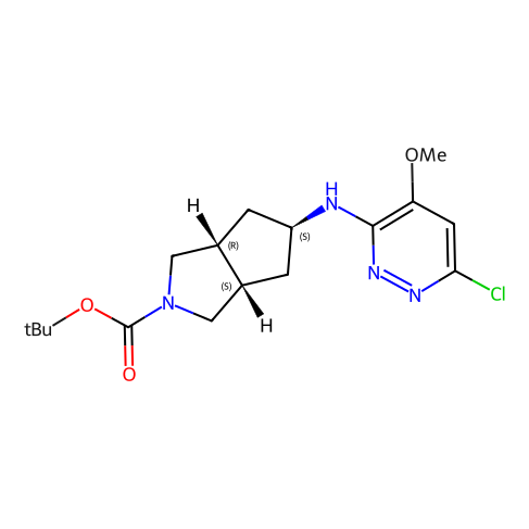 COc1cc(Cl)nnc1N[C@H]1C[C@@H]2CN(C(=O)OC(C)(C)C)C[C@@H]2C1